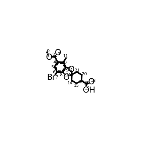 COC(=O)c1cc(Br)c2c(c1C)OC1(CCC(C(=O)O)CC1)O2